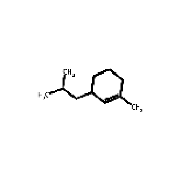 CC1=CC(CC(C)C)CCC1